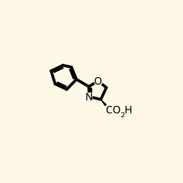 O=C(O)[C@@H]1COC(c2ccccc2)=N1